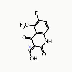 O=C1Nc2ccc(F)c(C(F)(F)F)c2C(=O)/C1=N/O